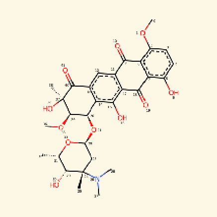 COc1ccc(O)c2c1C(=O)c1cc3c(c(O)c1C2=O)[C@@H](O[C@H]1C[C@](C)(N(C)C)[C@H](O)[C@H](C)O1)[C@@H](OC)[C@@](C)(O)C3=O